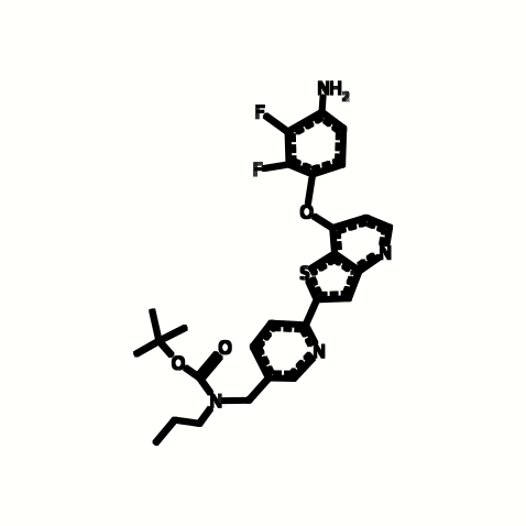 CCCN(Cc1ccc(-c2cc3nccc(Oc4ccc(N)c(F)c4F)c3s2)nc1)C(=O)OC(C)(C)C